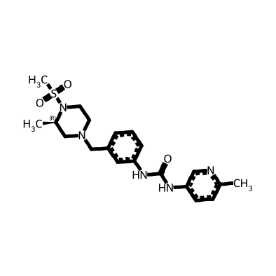 Cc1ccc(NC(=O)Nc2cccc(CN3CCN(S(C)(=O)=O)[C@H](C)C3)c2)cn1